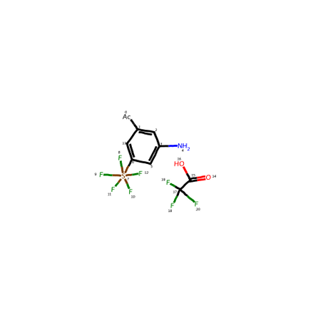 CC(=O)c1cc(N)cc(S(F)(F)(F)(F)F)c1.O=C(O)C(F)(F)F